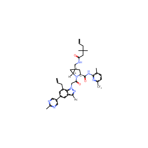 C=CCc1cc(-c2cnc(C)nc2)cc2c(C(C)=O)nn(CC(=O)N3[C@H](C(=O)Nc4nc(C(F)(F)F)ccc4C)C[C@@]4(CNC(=O)CC(C)(C)CC=C)C[C@@H]34)c12